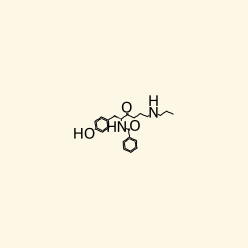 CCCNCCCC(=O)[C@H](Cc1ccc(O)cc1)NC(=O)c1ccccc1